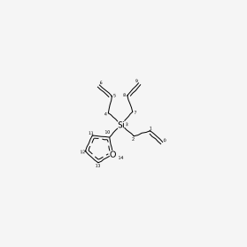 C=CC[Si](CC=C)(CC=C)c1ccco1